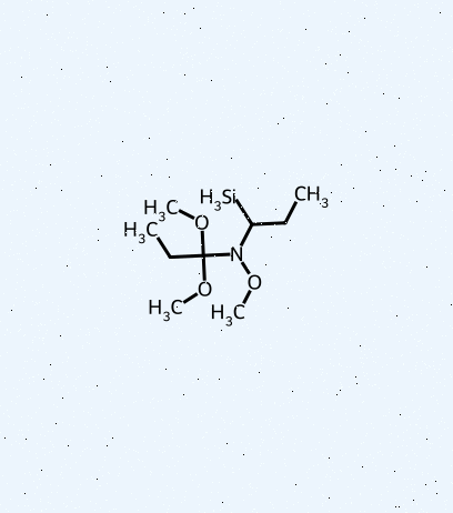 CCC([SiH3])N(OC)C(CC)(OC)OC